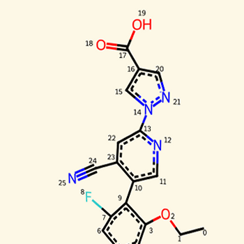 CCOc1cccc(F)c1-c1cnc(-n2cc(C(=O)O)cn2)cc1C#N